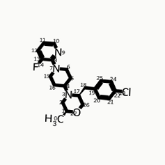 C[C@H]1CN(C2CCN(c3ncccc3F)CC2)[C@@H](Cc2ccc(Cl)cc2)CO1